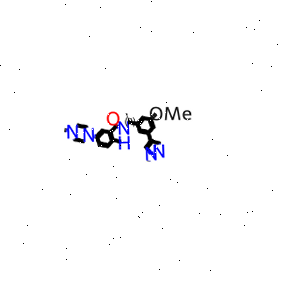 COc1cc(-c2cnn(C)c2)cc([C@@H](C)NC(=O)c2cc(N3CCN(C)CC3)ccc2C)c1